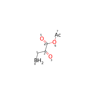 BCC(=O)C(=O)OC(C)=O